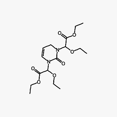 CCOC(=O)C(OCC)N1C=CCN(C(OCC)C(=O)OCC)C1=O